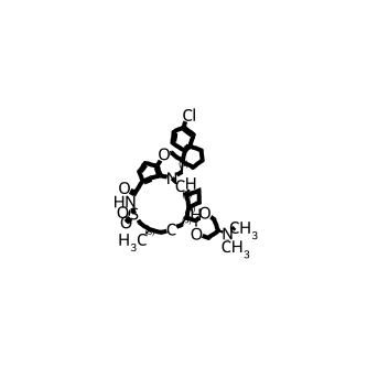 C[C@H]1CCC[C@H]([C@H]2OC[C@H](N(C)C)CO2)[C@@H]2CC[C@H]2CN2C[C@@]3(CCCc4cc(Cl)ccc43)COc3ccc(cc32)C(=O)NS(=O)(=O)C1